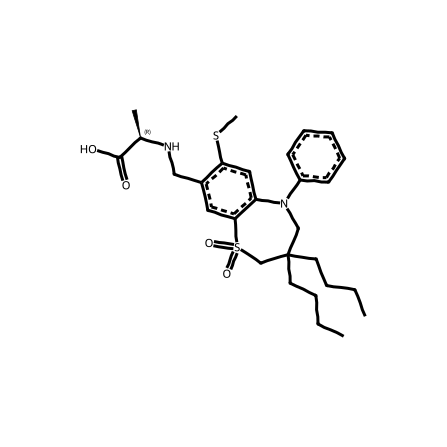 CCCCC1(CCCC)CN(c2ccccc2)c2cc(SC)c(CN[C@H](C)C(=O)O)cc2S(=O)(=O)C1